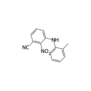 Cc1ccccc1Nc1cccc(C#N)c1[N+](=O)[O-]